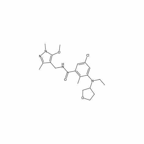 CCN(c1cc(Cl)cc(C(=O)NCc2c(C)nn(C)c2OC)c1C)C1CCOC1